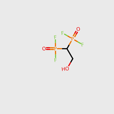 O=P(F)(F)C(CO)P(=O)(F)F